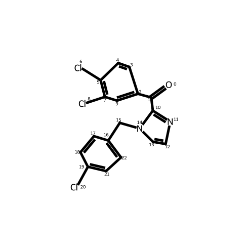 O=C(c1ccc(Cl)c(Cl)c1)c1nccn1Cc1ccc(Cl)cc1